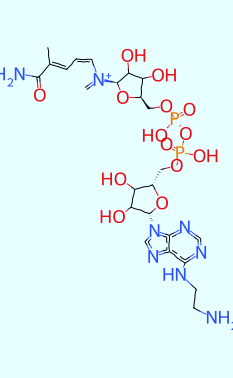 C=[N+](/C=C\C=C(/C)C(N)=O)[C@@H]1O[C@H](COP(=O)(O)OP(=O)(O)OC[C@@H]2O[C@H](n3cnc4c(NCCN)ncnc43)C(O)C2O)C(O)C1O